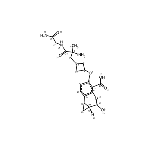 CC(N)(CN1CC(Oc2ccc3c(c2C(=O)O)OB(O)[C@@H]2CC32)C1)C(=O)NCC(N)=O